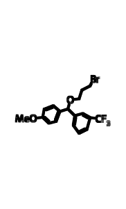 COc1ccc(C(OCCCBr)c2cccc(C(F)(F)F)c2)cc1